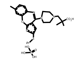 Cc1ccc2c(c1)Oc1sc(SC(C)C)cc1C(N1CCN(CC(C)(C)C(=O)O)CC1)=N2.O=P(O)(O)O